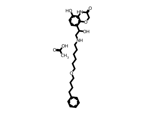 CC(=O)O.O=C1COc2c(C(O)CNCCCCCCOCCCCc3ccccc3)ccc(O)c2N1